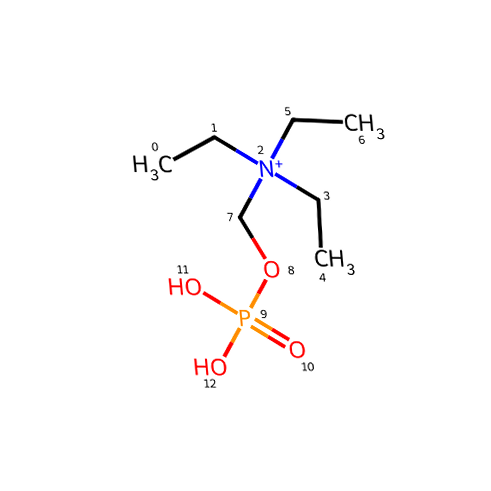 CC[N+](CC)(CC)COP(=O)(O)O